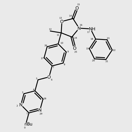 CCCCc1ncc(COc2ccc(C3(C)OC(=O)N(Nc4ccccc4)C3=O)cc2)cn1